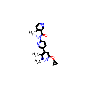 C=C/C(C)=C(\C=C(/N)OC1CC1)c1ccc(NC(=O)c2cnccc2C)nc1